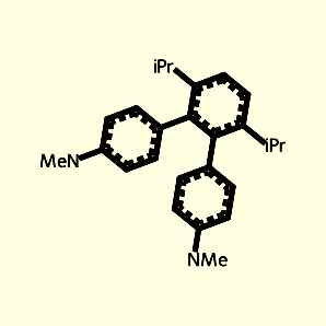 CNc1ccc(-c2c(C(C)C)ccc(C(C)C)c2-c2ccc(NC)cc2)cc1